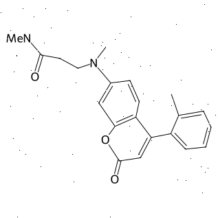 CNC(=O)CCN(C)c1ccc2c(-c3ccccc3C)cc(=O)oc2c1